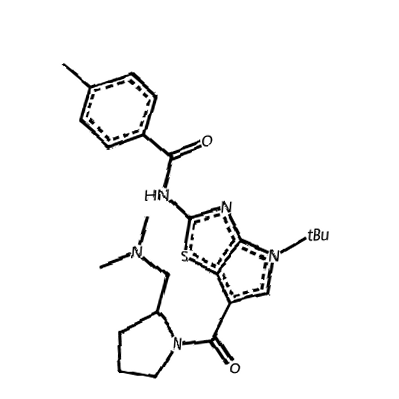 Cc1ccc(C(=O)Nc2nc3c(s2)c(C(=O)N2CCCC2CN(C)C)cn3C(C)(C)C)cc1